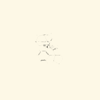 O=C(O)C12CC3CC(C1)C(NC(=O)C1(c4ccccc4F)CCCC1)C(C3)C2